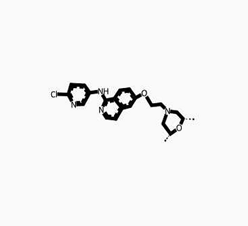 C[C@@H]1CN(CCOc2ccc3c(Nc4ccc(Cl)nc4)nccc3c2)C[C@H](C)O1